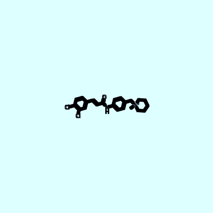 C[N+]1(Cc2ccc(NC(=O)C=Cc3ccc(Cl)c(Cl)c3)cc2)CCCCC1